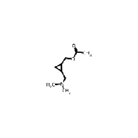 CC(=O)OCC1CC1CN(C)C